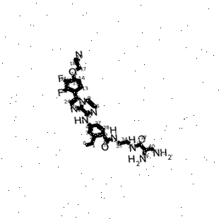 CCc1cc(Nc2nccn3c(-c4ccc(OCC#N)c(F)c4F)cnc23)ccc1C(=O)NCCNC(=O)C(N)CN